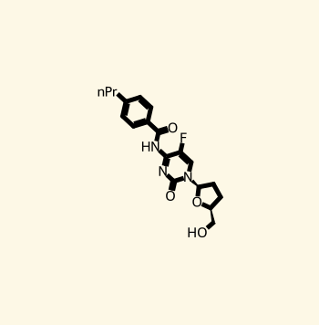 CCCc1ccc(C(=O)Nc2nc(=O)n([C@H]3CC[C@@H](CO)O3)cc2F)cc1